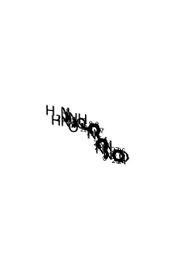 CN(c1ncc(-c2cccc(COC(=O)NC(=N)N)n2)cn1)C1CCOCC1